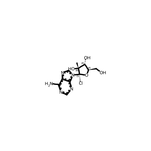 C[C@@]1(O)[C@H](O)[C@@H](CO)O[C@@]1(Cl)n1cnc2c(N)ncnc21